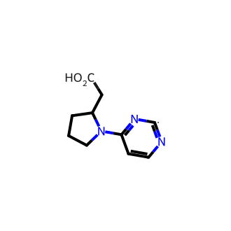 O=C(O)CC1CCCN1c1ccn[c]n1